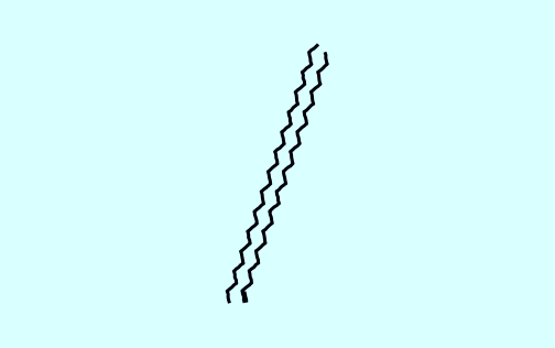 C=CCCCCCCCCCCCCCCCCCCCCCCCC.CCCCCCCCCCCCCCCCCCCCCCCCCCC